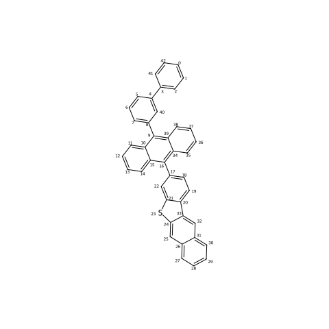 c1ccc(-c2cccc(-c3c4ccccc4c(-c4ccc5c(c4)sc4cc6ccccc6cc45)c4ccccc34)c2)cc1